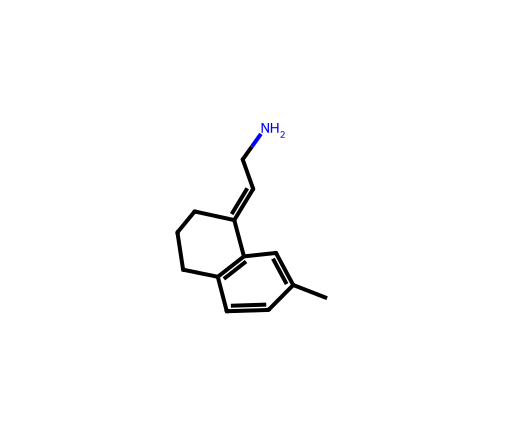 Cc1ccc2c(c1)/C(=C/CN)CCC2